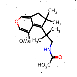 COC1=COC=C2CC(C)(C)C(C(C)(C)CNC(=O)C(=O)O)=C21